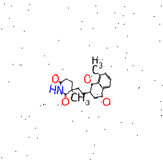 Cc1cccc2c1C(=O)C(CCC1(C)CCC(=O)NC1=O)CC2=O